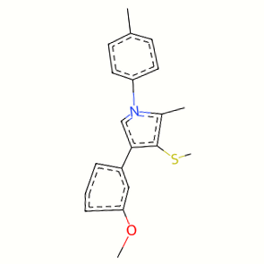 COc1cccc(-c2cn(-c3ccc(C)cc3)c(C)c2SC)c1